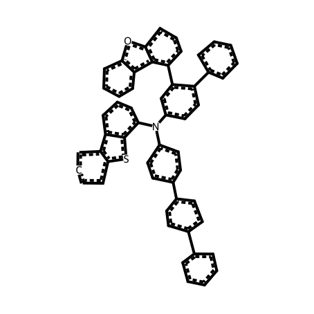 c1ccc(-c2ccc(-c3ccc(N(c4ccc(-c5ccccc5)c(-c5cccc6oc7ccccc7c56)c4)c4cccc5c4sc4ccccc45)cc3)cc2)cc1